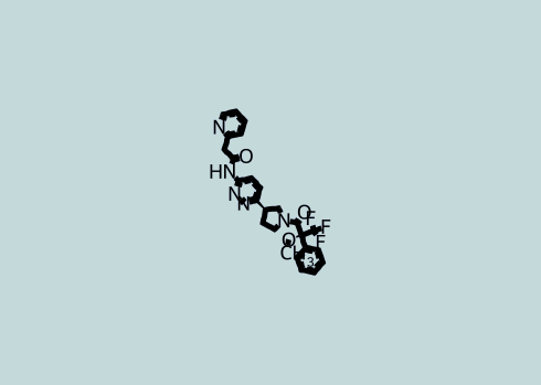 CO[C@@](C(=O)N1CC[C@@H](c2ccc(NC(=O)Cc3ccccn3)nn2)C1)(c1ccccc1)C(F)(F)F